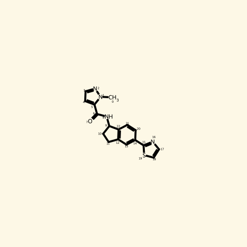 Cn1nccc1C(=O)NC1CCc2cc(-c3nccs3)ccc21